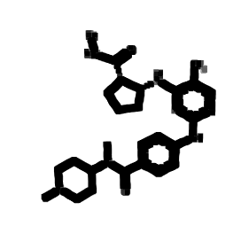 CCNC(=O)[C@H]1CCC[C@H]1Nc1nc(Nc2ccc(C(=O)N(C)C3CCN(C)CC3)cc2)ncc1C(F)(F)F